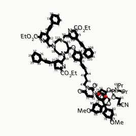 CCOC(=O)c1cc(C#Cc2ccccc2)cc(CN2CCN(Cc3cc(C#Cc4ccccc4)cc(C(=O)OCC)n3)CC(Oc3ccc(C#CCCCCn4c(=O)ccn([C@H]5CC(OP(OCCC#N)N(C(C)C)C(C)C)[C@@H](COC(c6ccccc6)(c6ccc(OC)cc6)c6ccc(OC)cc6)O5)c4=O)cc3)CN(Cc3cc(C#Cc4ccccc4)cc(C(=O)OCC)n3)CC2)n1